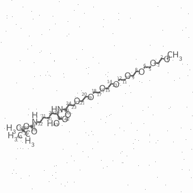 COCCOCCOCCOCCOCCOCCOCCOCCC(=O)NC(CCCCNC(=O)OC(C)(C)C)C(=O)O